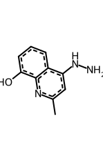 Cc1cc(NN)c2cccc(O)c2n1